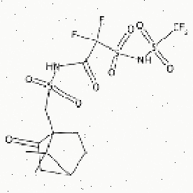 CC1(C)C2CCC1(CS(=O)(=O)NC(=O)C(F)(F)S(=O)(=O)NS(=O)(=O)C(F)(F)F)C(=O)C2